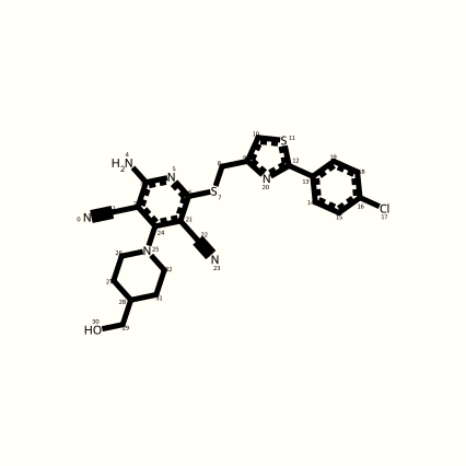 N#Cc1c(N)nc(SCc2csc(-c3ccc(Cl)cc3)n2)c(C#N)c1N1CCC(CO)CC1